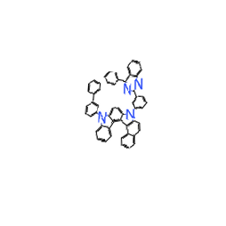 c1ccc(-c2cccc(-n3c4ccccc4c4c5c6c7ccccc7ccc6n(-c6cccc(-c7nc(-c8ccccc8)c8ccccc8n7)c6)c5ccc43)c2)cc1